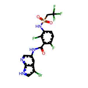 O=C(Nc1cnc2[nH]cc(Br)c2c1)c1c(F)ccc(NS(=O)(=O)CC(F)(F)F)c1F